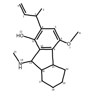 C=CC(C)c1cc(OC)c2c(c1O)C(NC)C1CCCCC21